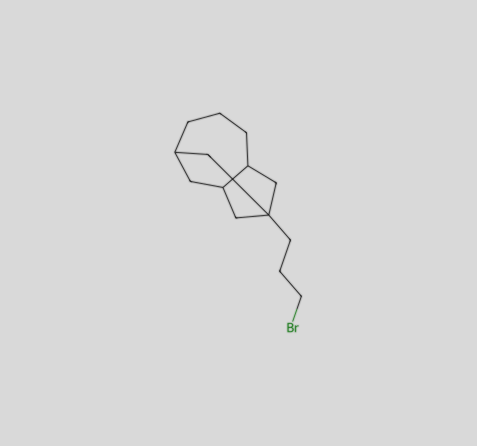 BrCCCC12CC3CCCC(C1)C(C3)C2